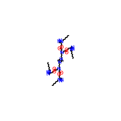 CCCCCCCn1nncc1CCOC(=O)CCN(CCCCN1C[C@H](C)N(CCCCN(CCC(=O)OCCc2cnnn2CCCCCCC)CCC(=O)OCCc2cnnn2CCCCCCC)C[C@H]1C)CCC(=O)OCCc1cnnn1CCCCCCC